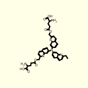 CCc1ccc2ccc(N(c3ccc4ccc(COC(=O)CCC(N)C(=O)O)nc4c3)c3ccc4ccc(COC(=O)CCC(N)C(=O)O)nc4c3)cc2n1